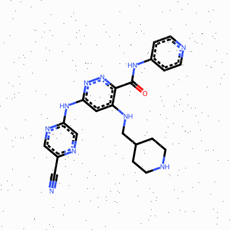 N#Cc1cnc(Nc2cc(NCC3CCNCC3)c(C(=O)Nc3ccncc3)nn2)cn1